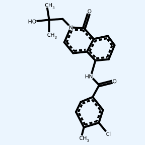 Cc1ccc(C(=O)Nc2cccc3c(=O)n(CC(C)(C)O)ccc23)cc1Cl